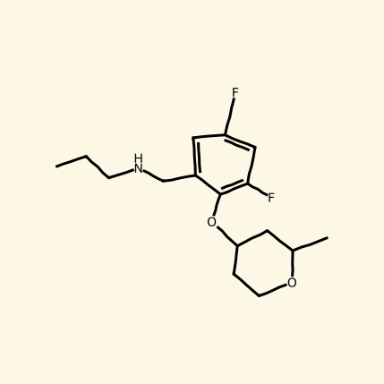 CCCNCc1cc(F)cc(F)c1OC1CCOC(C)C1